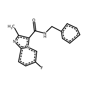 Cc1nc2ccc(F)cn2c1C(=O)NCc1ccccc1